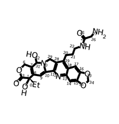 CC[C@@]1(O)C(=O)OCC2=C1C=C1c3nc4cc5c(cc4c(CCCNC(=O)CN)c3CN1C2O)OCO5